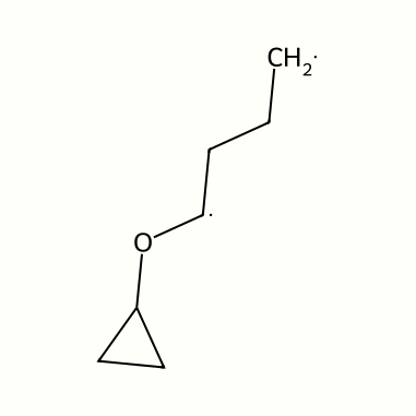 [CH2]CC[CH]OC1CC1